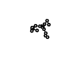 c1ccc(-c2ccccc2-c2ccc(N(c3ccc(-c4cccc(-c5oc6ccccc6c5-c5ccccc5)c4)cc3)c3ccc(-c4ccc5c(ccc6ccccc65)c4)cc3)cc2)cc1